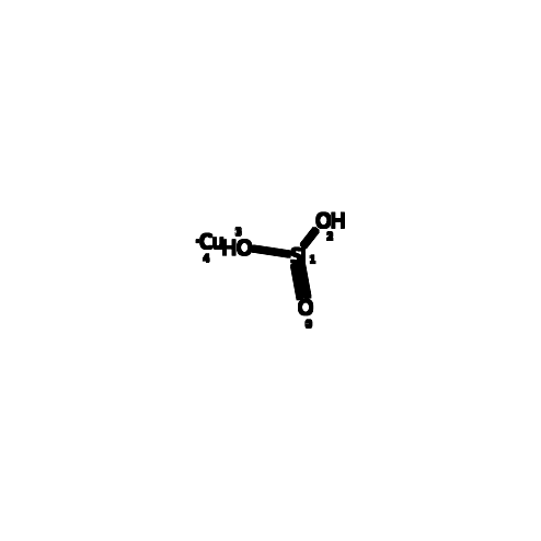 O=[Si](O)O.[Cu]